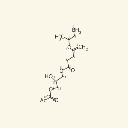 BCC(C)OC(=C)CCC(=O)OCC(O)COC(=O)C(C)=O